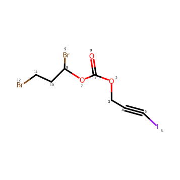 O=C(OCC#CI)OC(Br)CCBr